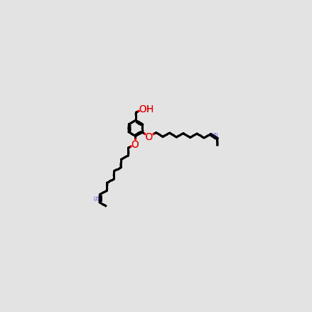 C/C=C\CCCCCCCCOc1ccc(CO)cc1OCCCCCCCC/C=C\C